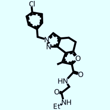 CCNC(=O)CNC(=O)c1oc2c(c1C)-c1nn(Cc3ccc(Cl)cc3)cc1CC2